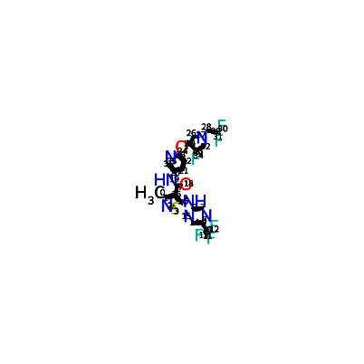 Cc1nsc(Nc2cnc(C(F)(F)F)cn2)c1C(=O)Nc1ccc(O[C@@H]2CN(CC(F)F)C[C@@H]2F)nc1